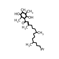 C/C(=C\C(=O)c1c(C)c(O)c(C)c(C)c1O)CCCC(C)CCCC(C)CCCC(C)C